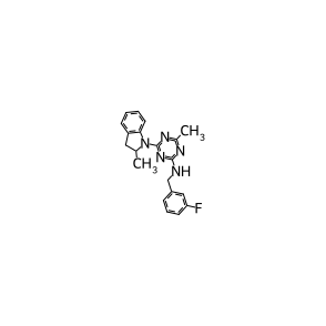 Cc1nc(NCc2cccc(F)c2)nc(N2c3ccccc3CC2C)n1